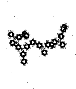 CC1(C)c2cc(N(c3ccccc3)c3ccc(-c4cccc(-c5ccc(N(c6ccc(-c7ccccc7)cc6)c6ccc7c(c6)oc6c(N(c8ccccc8)c8ccc(C9%10CC%11CC(CC(C%11)C9)C%10)cc8)cccc67)cc5)c4)cc3)ccc2-c2ccc(N(c3ccccc3)c3ccc(C45CC6CC(CC(C6)C4)C5)cc3)cc21